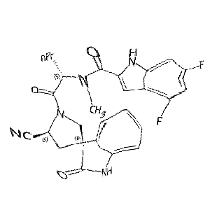 CCC[C@@H](C(=O)N1C[C@]2(C[C@H]1C#N)C(=O)Nc1ccccc12)N(C)C(=O)c1cc2c(F)cc(F)cc2[nH]1